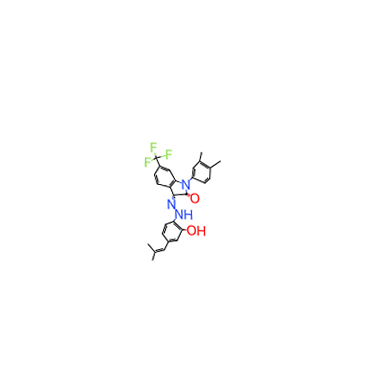 CC(C)=Cc1ccc(N/N=C2\C(=O)N(c3ccc(C)c(C)c3)c3cc(C(F)(F)F)ccc32)c(O)c1